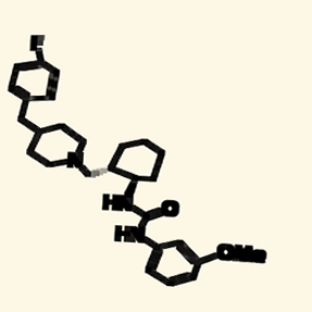 COc1cccc(NC(=O)N[C@@H]2CCCC[C@H]2CN2CCC(Cc3ccc(F)cc3)CC2)c1